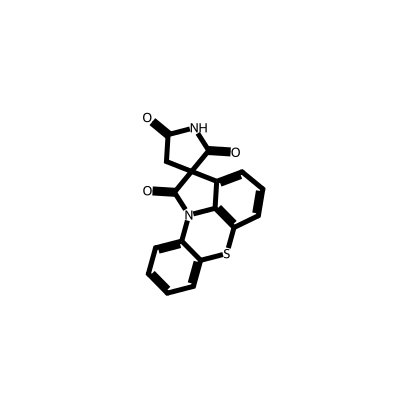 O=C1CC2(C(=O)N1)C(=O)N1c3ccccc3Sc3cccc2c31